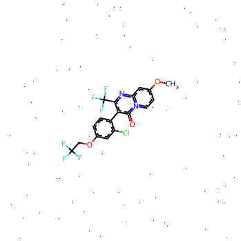 COc1ccn2c(=O)c(-c3ccc(OCC(F)(F)F)cc3Cl)c(C(F)(F)F)nc2c1